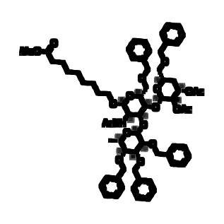 COC(=O)CCCCCCCCO[C@@H]1O[C@H](COCc2ccccc2)[C@@H](O[C@@H]2O[C@H](COCc3ccccc3)C[C@H](OC(C)=O)[C@H]2OC(C)=O)[C@H](O[C@@H]2O[C@@H](C)[C@@H](OCc3ccccc3)[C@@H](OCc3ccccc3)[C@@H]2OCc2ccccc2)[C@H]1NC(C)=O